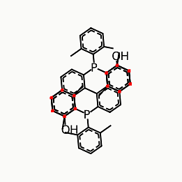 Cc1cccc(C)c1P(c1ccc2ccc(O)cc2c1-c1c(P(c2c(C)cccc2C)c2c(C)cccc2C)ccc2ccc(O)cc12)c1c(C)cccc1C